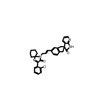 O=C1C(c2ccccc2Cl)=NC2(CCCCC2)N1C/C=C/c1ccc2c(c1)CC1(C2)C(=O)Nc2ncccc21